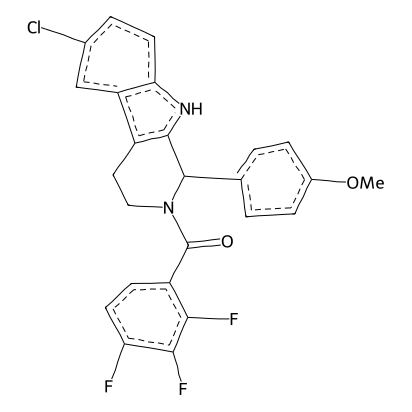 COc1ccc(C2c3[nH]c4ccc(Cl)cc4c3CCN2C(=O)c2ccc(F)c(F)c2F)cc1